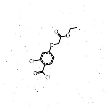 CCOC(=O)COc1ccc(C(=O)Cl)c(Cl)c1